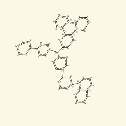 c1ccc(-c2ccc(N(c3ccc(-c4cccc(-c5cccc6ccccc56)c4)cc3)c3ccc4c5ccccc5c5ccccc5c4c3)cc2)cc1